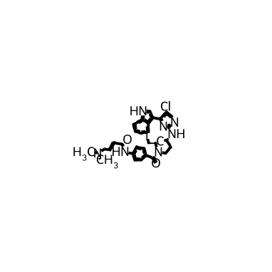 CN(C)C/C=C/C(=O)Nc1ccc(C(=O)N2CC[C@H](Nc3ncc(Cl)c(-c4c[nH]c5ccccc45)n3)C[C@@H]2CI)cc1